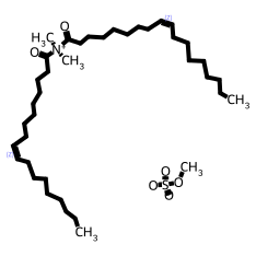 CCCCCCCC/C=C\CCCCCCCC(=O)[N+](C)(C)C(=O)CCCCCCC/C=C\CCCCCCCC.COS(=O)(=O)[O-]